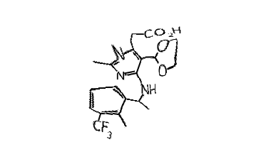 Cc1nc(CC(=O)O)c(C2OCCO2)c(NC(C)c2cccc(C(F)(F)F)c2C)n1